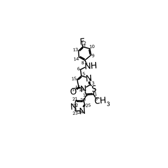 Cc1sc2nc(CNc3ccc(F)cc3)cc(=O)n2c1-c1cncnc1